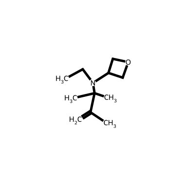 C=C(C)C(C)(C)N(CC)C1COC1